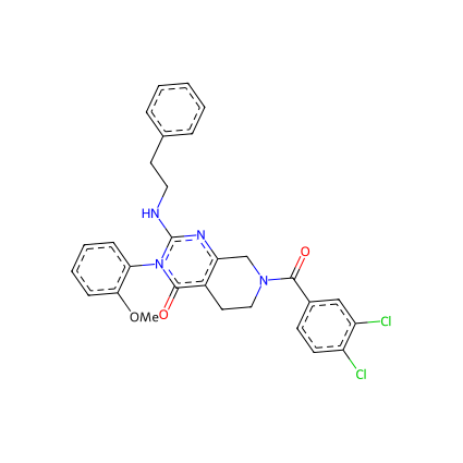 COc1ccccc1-n1c(NCCc2ccccc2)nc2c(c1=O)CCN(C(=O)c1ccc(Cl)c(Cl)c1)C2